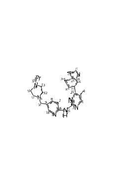 Cc1cnc(Nc2ccc(CN3CCN(C(C)C)CC3)cn2)nc1-c1ccc2scnc2c1